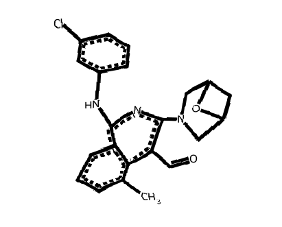 Cc1cccc2c(Nc3cccc(Cl)c3)nc(N3CC4CC(C3)O4)c(C=O)c12